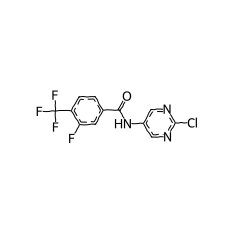 O=C(Nc1cnc(Cl)nc1)c1ccc(C(F)(F)F)c(F)c1